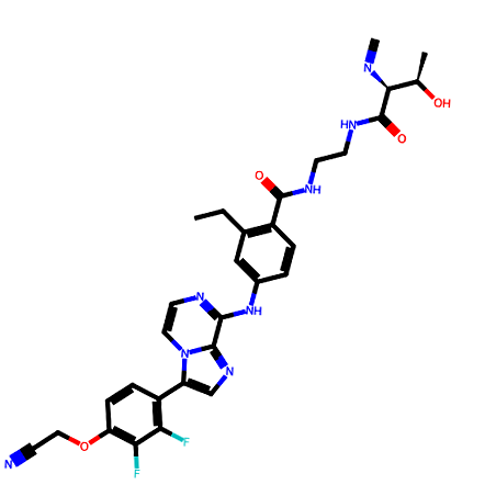 C=N[C@H](C(=O)NCCNC(=O)c1ccc(Nc2nccn3c(-c4ccc(OCC#N)c(F)c4F)cnc23)cc1CC)[C@@H](C)O